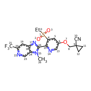 CCS(=O)(=O)c1cc(OCC2(C#N)CC2)cnc1-c1nc2cc(C(F)(F)F)ncc2n1C